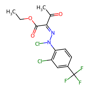 CCOC(=O)C(=NN(Cl)c1ccc(C(F)(F)F)cc1Cl)C(C)=O